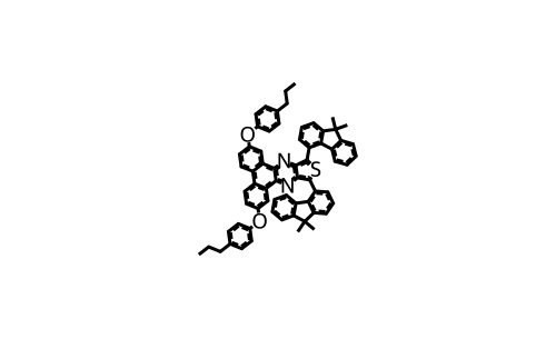 CCCc1ccc(Oc2ccc3c4ccc(Oc5ccc(CCC)cc5)cc4c4nc5c(-c6cccc7c6-c6ccccc6C7(C)C)sc(-c6cccc7c6-c6ccccc6C7(C)C)c5nc4c3c2)cc1